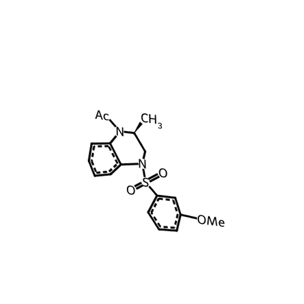 COc1cccc(S(=O)(=O)N2C[C@H](C)N(C(C)=O)c3ccccc32)c1